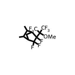 COC(C(F)(F)F)(C(F)(F)F)C1(F)C2CC(C(C)C2C)C1(F)F